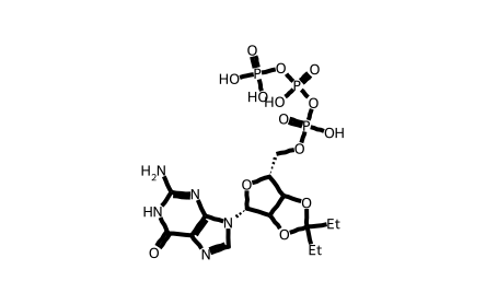 CCC1(CC)OC2C(O1)[C@@H](COP(=O)(O)OP(=O)(O)OP(=O)(O)O)O[C@H]2n1cnc2c(=O)[nH]c(N)nc21